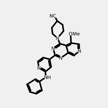 COc1cncc2nc(-c3ccnc(Nc4ccccc4)c3)nc(N3CCC(C#N)CC3)c12